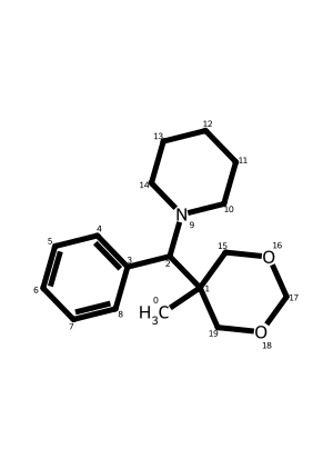 CC1(C(c2ccccc2)N2CCCCC2)COCOC1